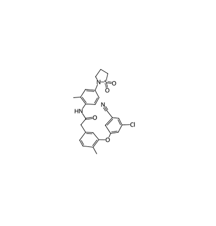 Cc1cc(N2CCCS2(=O)=O)ccc1NC(=O)Cc1ccc(C)c(Oc2cc(Cl)cc(C#N)c2)c1